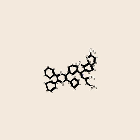 C=C(/C=C(/c1cccc(-c2nc(C3=CCCCC3)c(C3=CCCC=C3)nc2-c2ccccc2)c1)c1ccc2ccc(C)nc2c1C)CC